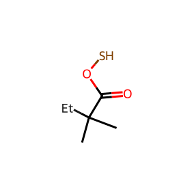 CCC(C)(C)C(=O)OS